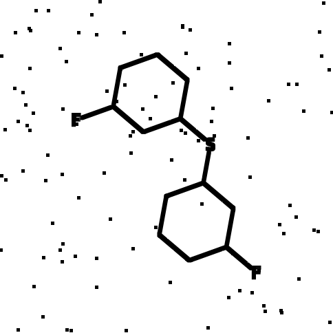 FC1CCCC(SC2CCCC(F)C2)C1